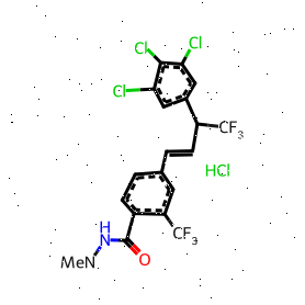 CNNC(=O)c1ccc(C=CC(c2cc(Cl)c(Cl)c(Cl)c2)C(F)(F)F)cc1C(F)(F)F.Cl